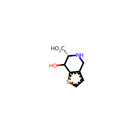 O=C(O)[C@@H]1NCc2ccsc2C1O